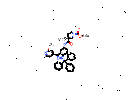 CCOc1cc(-c2nn(C(c3ccccc3)(c3ccccc3)c3ccccc3)c3ccc(NC(=O)[C@]4(SC)CCN(C(=O)OC(C)(C)C)C4)cc23)ccn1